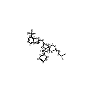 CC(C)CNC1CCC(CS(=O)(=O)c2ccccc2)(NC(=O)Cc2nc3c(C(F)(F)F)cccc3[nH]2)CC1